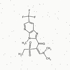 CCS(=O)(=O)/C(=C/N(C)C)C(=O)c1nc2cc(C(F)(F)F)cnc2n1C